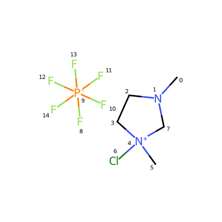 CN1CC[N+](C)(Cl)C1.F[P-](F)(F)(F)(F)F